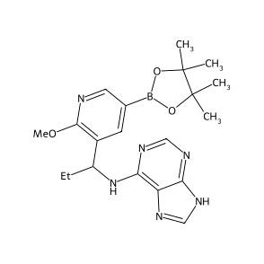 CCC(Nc1ncnc2[nH]cnc12)c1cc(B2OC(C)(C)C(C)(C)O2)cnc1OC